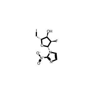 O=[N+]([O-])c1nccn1[C@@H]1O[C@H](CI)[C@@H](O)[C@H]1F